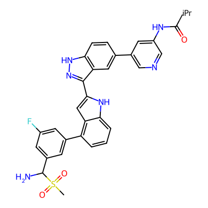 CC(C)C(=O)Nc1cncc(-c2ccc3[nH]nc(-c4cc5c(-c6cc(F)cc(C(N)S(C)(=O)=O)c6)cccc5[nH]4)c3c2)c1